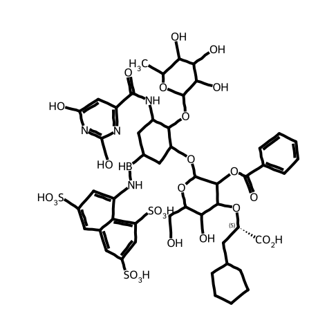 CC1OC(OC2C(NC(=O)c3cc(O)nc(O)n3)CC(BNc3cc(S(=O)(=O)O)cc4cc(S(=O)(=O)O)cc(S(=O)(=O)O)c34)CC2OC2OC(CO)C(O)C(O[C@@H](CC3CCCCC3)C(=O)O)C2OC(=O)c2ccccc2)C(O)C(O)C1O